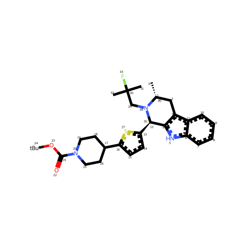 C[C@@H]1Cc2c([nH]c3ccccc23)[C@@H](c2ccc(C3CCN(C(=O)OC(C)(C)C)CC3)s2)N1CC(C)(C)F